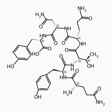 C[C@@H](O)[C@H](NC(=O)[C@H](Cc1ccc(O)cc1)NC(=O)[C@@H](N)CCC(N)=O)C(=O)N[C@@H](CCC(N)=O)C(=O)N[C@@H](CC(N)=O)C(=O)N[C@@H](Cc1ccc(O)cc1)C(=O)O